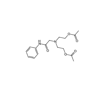 CC(=O)OCCN(CCOC(C)=O)CC(=O)Nc1ccccc1